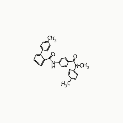 Cc1ccc(-c2ccccc2C(=O)Nc2ccc(C(=O)N(C)c3ccc(C)cc3)cc2)cc1